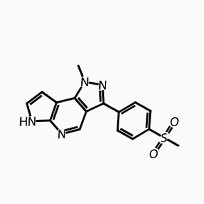 Cn1nc(-c2ccc(S(C)(=O)=O)cc2)c2cnc3[nH]ccc3c21